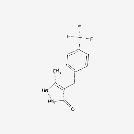 Cc1[nH][nH]c(=O)c1Cc1ccc(C(F)(F)F)cc1